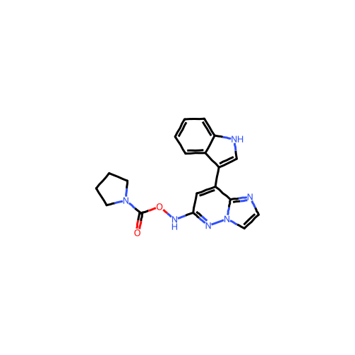 O=C(ONc1cc(-c2c[nH]c3ccccc23)c2nccn2n1)N1CCCC1